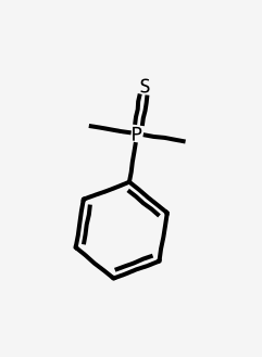 CP(C)(=S)c1ccccc1